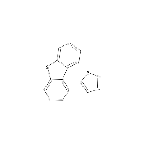 c1ccc2c(c1)sc1ccccc12.c1ccsc1